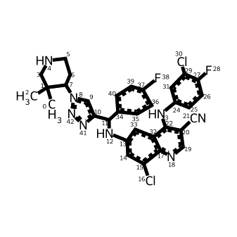 CC1(C)CNCCC1n1cc(C(Nc2cc(Cl)c3ncc(C#N)c(Nc4ccc(F)c(Cl)c4)c3c2)c2ccc(F)cc2)nn1